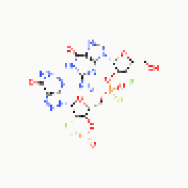 Nc1nc2c(ncn2[C@@H]2O[C@H](CO)[C@H](F)[C@H]2OP(=O)(S)OC[C@H]2O[C@@H](n3nnc4c(=O)[nH]cnc43)[C@@H](F)[C@@H]2O[PH](=O)S)c(=O)[nH]1